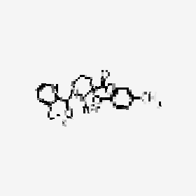 CCC[C@H]1N(C(=O)c2ncccc2C(F)(F)F)CCC[C@@]1(Oc1ccc(C)cc1)C(=O)Cl